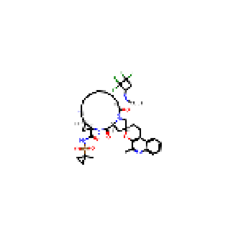 Cc1nc2ccccc2c2c1O[C@]1(CC2)C[C@H]2C(=O)N[C@]3(C(=O)NS(=O)(=O)C4(C)CC4)C[C@H]3/C=C\CCCCC[C@H](N(C(=O)O)C3CC(F)(F)C3(F)F)C(=O)N2C1